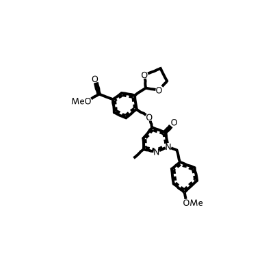 COC(=O)c1ccc(Oc2cc(C)nn(Cc3ccc(OC)cc3)c2=O)c(C2OCCO2)c1